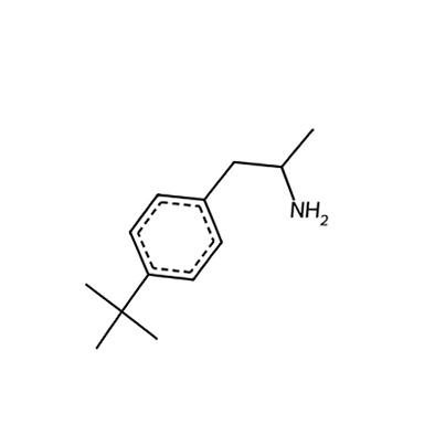 CC(N)Cc1ccc(C(C)(C)C)cc1